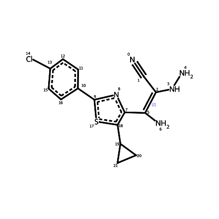 N#C/C(NN)=C(/N)c1nc(-c2ccc(Cl)cc2)sc1C1CC1